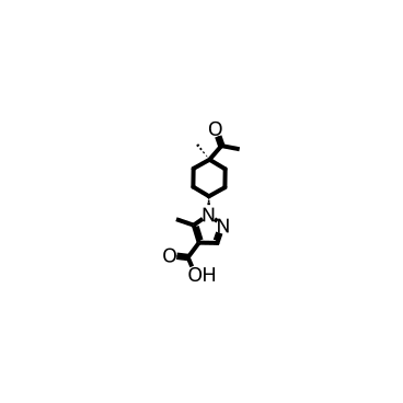 Cc1c(C(=O)O)cnn1[C@H]1CC[C@](C)(C(C)=O)CC1